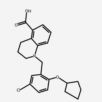 O=C(O)c1cccc2c1CCCN2Cc1cc(Cl)ccc1OC1CCCC1